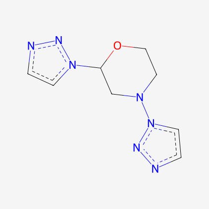 c1cn(C2CN(n3ccnn3)CCO2)nn1